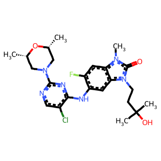 C[C@@H]1CN(c2ncc(Cl)c(Nc3cc4c(cc3F)n(C)c(=O)n4CCC(C)(C)O)n2)C[C@H](C)O1